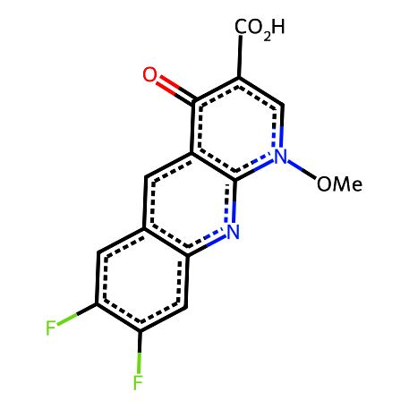 COn1cc(C(=O)O)c(=O)c2cc3cc(F)c(F)cc3nc21